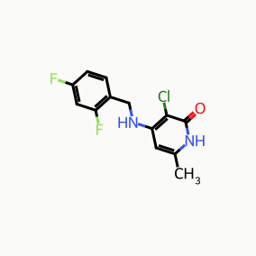 Cc1cc(NCc2ccc(F)cc2F)c(Cl)c(=O)[nH]1